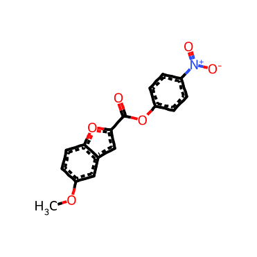 COc1ccc2oc(C(=O)Oc3ccc([N+](=O)[O-])cc3)cc2c1